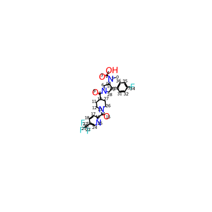 CN(C(=O)O)[C@@H]1CN(C(=O)C2CCN(C(=O)c3ccc(C(F)(F)F)cn3)CC2)C[C@H]1c1ccc(F)cc1